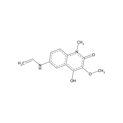 C=CNc1ccc2c(c1)c(O)c(OC)c(=O)n2C